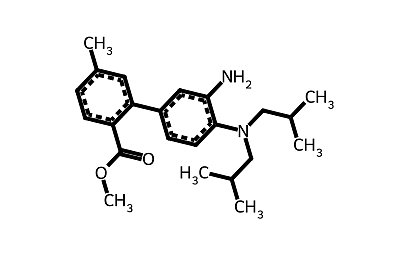 COC(=O)c1ccc(C)cc1-c1ccc(N(CC(C)C)CC(C)C)c(N)c1